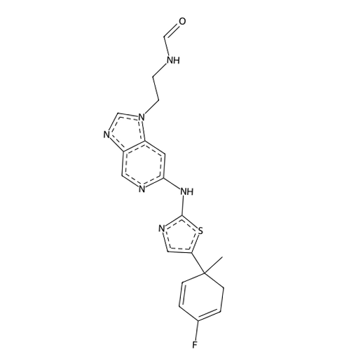 CC1(c2cnc(Nc3cc4c(cn3)ncn4CCNC=O)s2)C=CC(F)=CC1